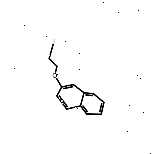 ICCOc1ccc2ccccc2c1